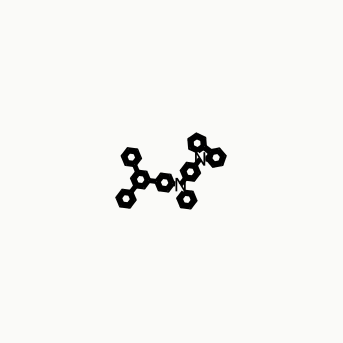 c1ccc(-c2cc(-c3ccccc3)cc(-c3ccc(N(c4ccccc4)c4ccc(-n5c6ccccc6c6ccccc65)cc4)cc3)c2)cc1